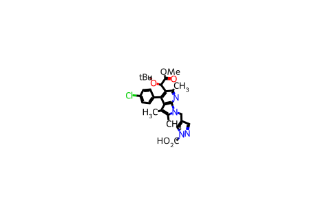 COC(=O)C(OC(C)(C)C)c1c(C)nc2c(c(C)c(C)n2Cc2cnn(C(=O)O)c2)c1-c1ccc(Cl)cc1